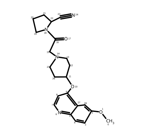 COc1ccc2nccc(OC3CCN(CC(=O)N4CCCC4C#N)CC3)c2c1